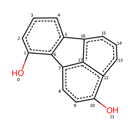 Oc1cccc2c1-c1ccc(O)c3cccc-2c13